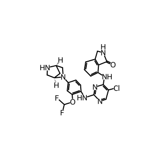 O=C1NCc2cccc(Nc3nc(Nc4ccc(N5C[C@H]6C[C@@H]5CN6)cc4OC(F)F)ncc3Cl)c21